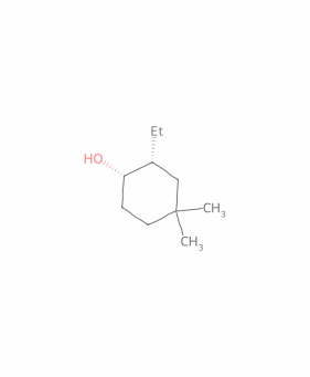 CC[C@@H]1CC(C)(C)CC[C@@H]1O